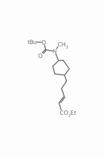 CCOC(=O)/C=C/CCC1CCC(N(C)C(=O)OC(C)(C)C)CC1